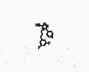 Fc1cc(F)cc(CCCn2c(S)nnc2-c2ccncc2)c1